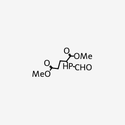 COC(=O)CCC(PC=O)C(=O)OC